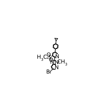 CCS(=O)(=O)c1cc(-c2ccc(C3CC3)cc2)cnc1-c1nc2cc(Br)cnc2n1C